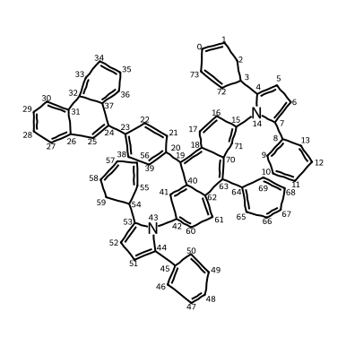 C1=CCC(c2ccc(-c3ccccc3)n2-c2ccc3c(-c4ccc(-c5cc6ccccc6c6ccccc56)cc4)c4cc(-n5c(-c6ccccc6)ccc5C5C=CC=CC5)ccc4c(-c4ccccc4)c3c2)C=C1